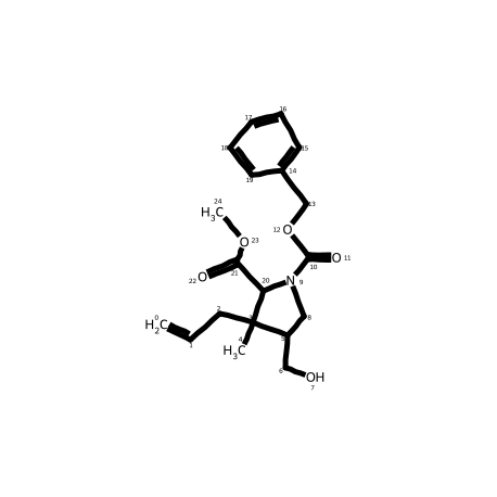 C=CCC1(C)C(CO)CN(C(=O)OCc2ccccc2)C1C(=O)OC